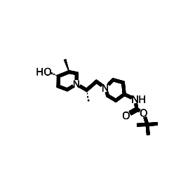 C[C@H]1CN([C@@H](C)CN2CCC(NC(=O)OC(C)(C)C)CC2)CC[C@@H]1O